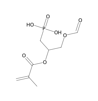 C=C(C)C(=O)OC(COC=O)CP(=O)(O)O